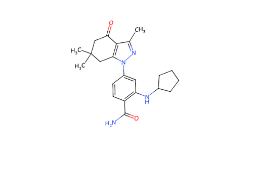 Cc1nn(-c2ccc(C(N)=O)c(NC3CCCC3)c2)c2c1C(=O)CC(C)(C)C2